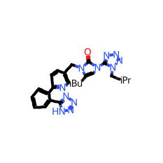 CCCCc1cn(-c2nnnn2CC(C)C)c(=O)n1Cc1ccc(-c2ccccc2-c2nnn[nH]2)nc1